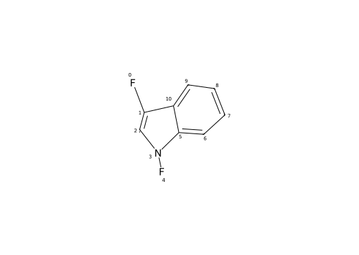 Fc1[c]n(F)c2ccccc12